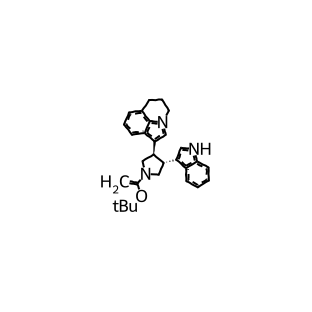 C=C(OC(C)(C)C)N1C[C@@H](c2c[nH]c3ccccc23)[C@H](c2cn3c4c(cccc24)CCC3)C1